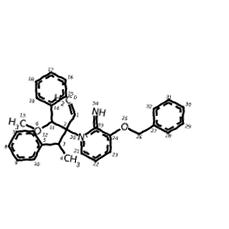 C=CC(C(C)c1ccccc1)(C(OC)c1ccccc1)n1cccc(OCc2ccccc2)c1=N